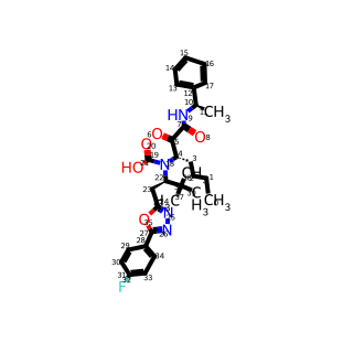 CCCC[C@@H](C(=O)C(=O)N[C@H](C)c1ccccc1)N(C(=O)O)[C@H](Cc1nnc(-c2ccc(F)cc2)o1)C(C)(C)C